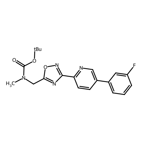 CN(Cc1nc(-c2ccc(-c3cccc(F)c3)cn2)no1)C(=O)OC(C)(C)C